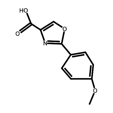 COc1ccc(-c2nc(C(=O)O)co2)cc1